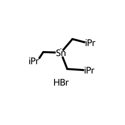 Br.CC(C)[CH2][Sn]([CH2]C(C)C)[CH2]C(C)C